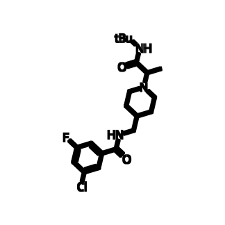 CC(C(=O)NC(C)(C)C)N1CCC(CNC(=O)c2cc(F)cc(Cl)c2)CC1